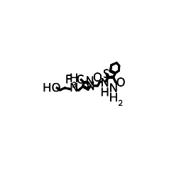 NC(=O)c1c(NC(=O)Cn2cc(CNCCCO)c(C(F)(F)F)n2)sc2c1CCCC2